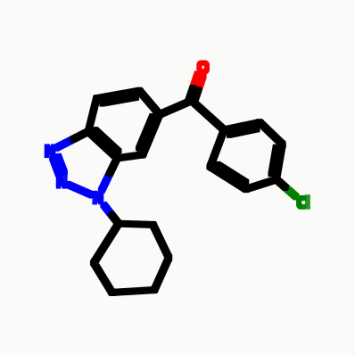 O=C(c1ccc(Cl)cc1)c1ccc2nnn(C3CCCCC3)c2c1